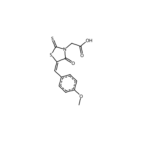 COc1ccc(C=C2SC(=S)N(CC(=O)O)C2=O)cc1